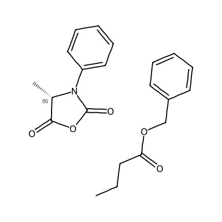 CCCC(=O)OCc1ccccc1.C[C@H]1C(=O)OC(=O)N1c1ccccc1